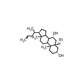 C=CC[C@@H](C)[C@H]1CCC2C3C(CC[C@@]21C)[C@@]1(C)CC[C@@H](O)C[C@H]1[C@@H](CC)[C@H]3O